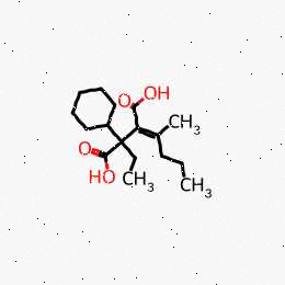 CCCC(C)=C(C(=O)O)C(CC)(C(=O)O)C1CCCCC1